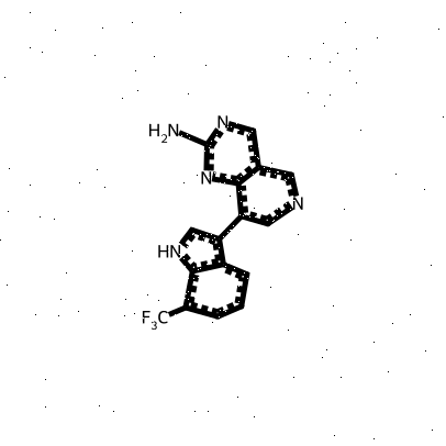 Nc1ncc2cncc(-c3c[nH]c4c(C(F)(F)F)cccc34)c2n1